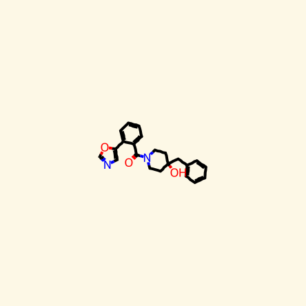 O=C(c1ccccc1-c1cnco1)N1CCC(O)(Cc2ccccc2)CC1